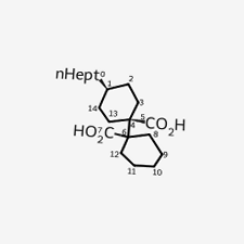 CCCCCCC[C@H]1CC[C@](C(=O)O)(C2(C(=O)O)CCCCC2)CC1